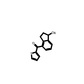 N#CC1CCc2c(C(=O)c3cccs3)cccc21